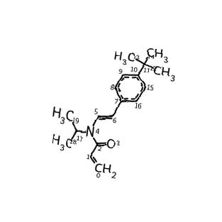 C=CC(=O)N(C=Cc1ccc(C(C)(C)C)cc1)C(C)C